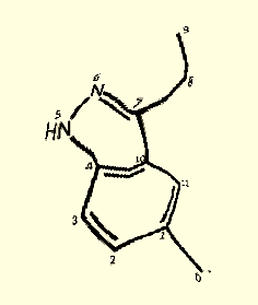 [CH2]c1ccc2[nH]nc(CC)c2c1